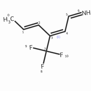 CC=C/C(=C\C=N)C(F)(F)F